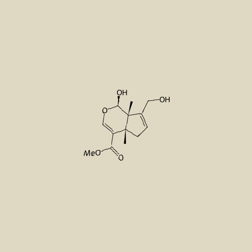 COC(=O)C1=CO[C@@H](O)[C@]2(C)C(CO)=CC[C@]12C